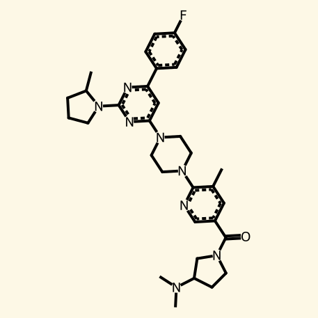 Cc1cc(C(=O)N2CCC(N(C)C)C2)cnc1N1CCN(c2cc(-c3ccc(F)cc3)nc(N3CCCC3C)n2)CC1